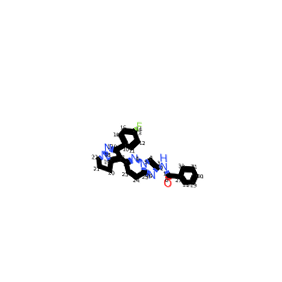 O=C(Nc1cn2nc(-c3c(-c4ccc(F)cc4)nn4c3CCC4)ccc2n1)c1ccccc1